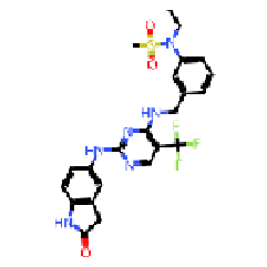 CCN(c1cccc(CNc2nc(Nc3ccc4c(c3)CC(=O)N4)ncc2C(F)(F)F)c1)S(C)(=O)=O